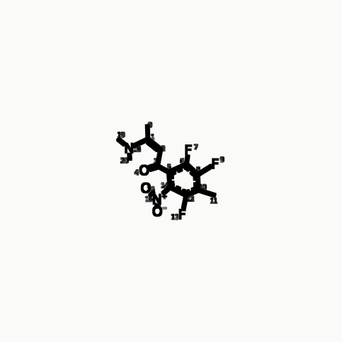 CC(=CC(=O)c1c(F)c(F)c(C)c(F)c1[N+](=O)[O-])N(C)C